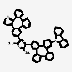 CC(C)(C)c1nc(C(C)(C)C)c(-c2ccc3c(c2)-c2ccccc2-c2ccccc2-c2ncccc2-3)nc1-c1ccc2c(c1)-c1ccccc1-c1ccccc1-c1cc(-n3c4ccccc4c4ccccc43)ccc1-2